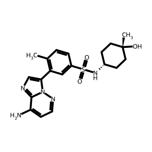 Cc1ccc(S(=O)(=O)N[C@H]2CC[C@@](C)(O)CC2)cc1-c1cnc2c(N)ccnn12